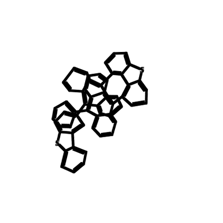 c1ccc(-c2c3ccccc3c(-c3cccc4sc5cccc(-c6c7ccccc7c(-c7ccc8sc9ccccc9c8c7)c7ccccc67)c5c34)c3ccccc23)cc1